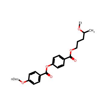 CCCCCCCCCCOc1ccc(C(=O)Oc2ccc(C(=O)OCCCC(C)OCC)cc2)cc1